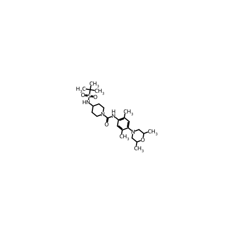 Cc1cc(N2CC(C)OC(C)C2)c(C)cc1NC(=O)N1CCC(NS(=O)(=O)C(C)(C)C)CC1